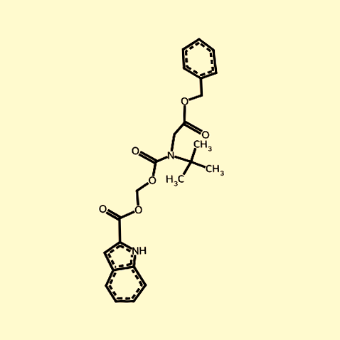 CC(C)(C)N(CC(=O)OCc1ccccc1)C(=O)OCOC(=O)c1cc2ccccc2[nH]1